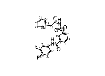 Cc1cc(NC(=O)c2cccc(S(=O)(=O)NC(C)Cc3ccccn3)c2)ccc1F